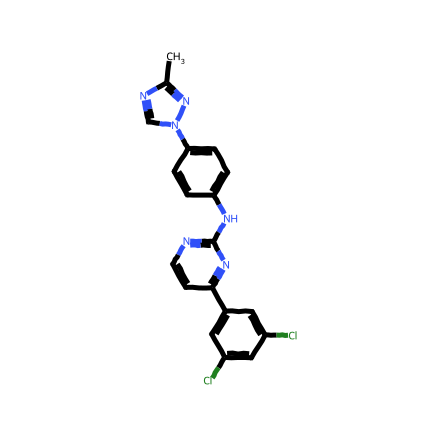 Cc1ncn(-c2ccc(Nc3nccc(-c4cc(Cl)cc(Cl)c4)n3)cc2)n1